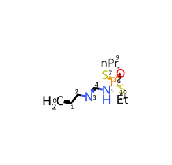 C=CCN=CNP(=S)(OCCC)SCC